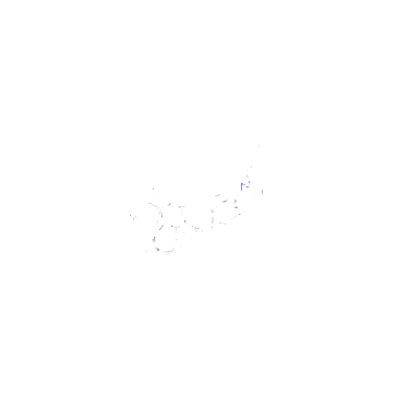 CCCCCCCN(CCO)c1ccc2c(c1)Oc1cc(=C(C#N)C#N)c3ccccc3c1=N2